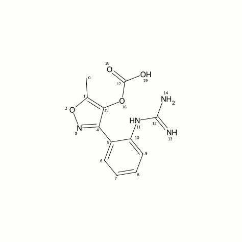 Cc1onc(-c2ccccc2NC(=N)N)c1OC(=O)O